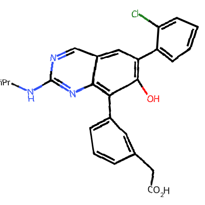 CC(C)Nc1ncc2cc(-c3ccccc3Cl)c(O)c(-c3cccc(CC(=O)O)c3)c2n1